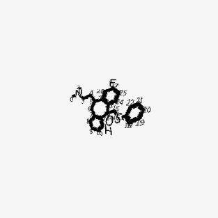 CN(C)CCC1Cc2ccccc2C(O)(CSc2ccccc2)c2ccc(F)cc21